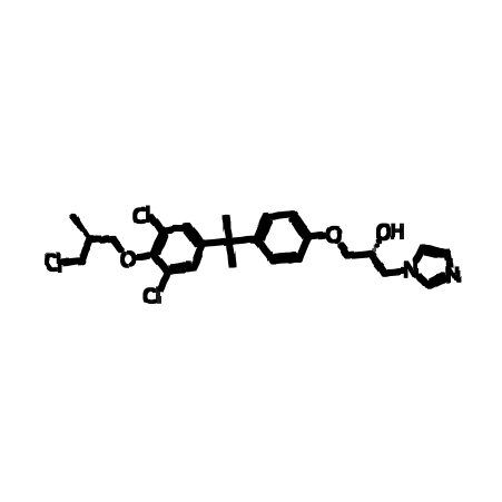 C[C@H](CCl)COc1c(Cl)cc(C(C)(C)c2ccc(OC[C@H](O)Cn3ccnc3)cc2)cc1Cl